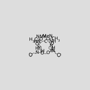 CN[C@@H](C)C(=O)N[C@H]1CCCC[C@H](NC(=O)[C@H](C)NC)C(=O)N2CC[C@H]3C(CN(CCc4ccccc4)C[C@H]32)OCCOC2CN(CCc3ccccc3)C[C@@H]3[C@H]2CCN3C1=O